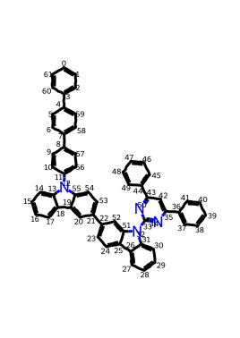 c1ccc(-c2ccc(-c3ccc(-n4c5ccccc5c5cc(-c6ccc7c8ccccc8n(-c8nc(-c9ccccc9)cc(-c9ccccc9)n8)c7c6)ccc54)cc3)cc2)cc1